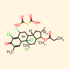 CCC(=O)O[C@@H]1[C@H](C)C[C@H]2[C@@H]3C[C@H](F)C4=C(Cl)C(=O)C(C)=C[C@]4(C)[C@@]3(Cl)[C@@H](Cl)C[C@]12C.O=C(O)SC(=O)O